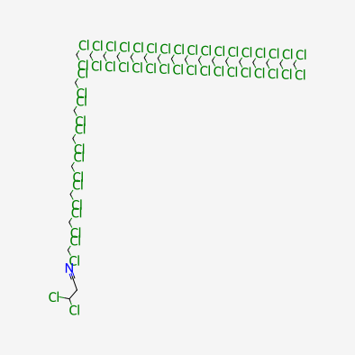 ClCCl.ClCCl.ClCCl.ClCCl.ClCCl.ClCCl.ClCCl.ClCCl.ClCCl.ClCCl.ClCCl.ClCCl.ClCCl.ClCCl.ClCCl.ClCCl.ClCCl.ClCCl.ClCCl.ClCCl.ClCCl.ClCCl.ClCCl.ClCCl.N#CCC(Cl)Cl